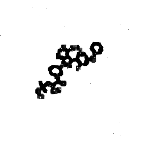 CCOC(C)(C)C=C(C#N)C(=O)N1CCC[C@@H](n2nc(-c3ccc(Oc4ccccc4)cc3F)c3c(N)ncnc32)C1